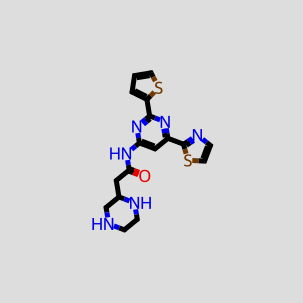 O=C(CC1CNCCN1)Nc1cc(-c2nccs2)nc(-c2cccs2)n1